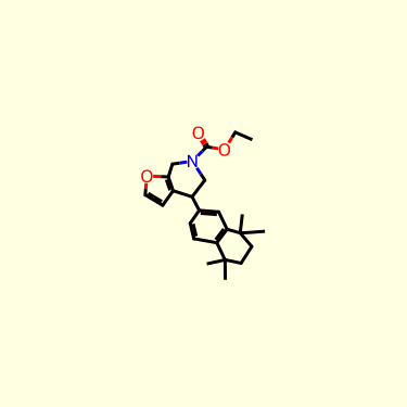 CCOC(=O)N1Cc2occc2C(c2ccc3c(c2)C(C)(C)CCC3(C)C)C1